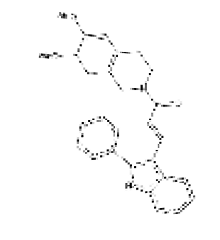 COC1=CC2=C(CC1OC)CN(C(=O)/C=C/c1c(-c3ccccc3)nc3ccccn13)CC2